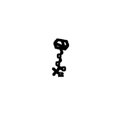 CCC(C)(C)C(=O)OCOCC12CC3CC(CC(C3)C1)C2